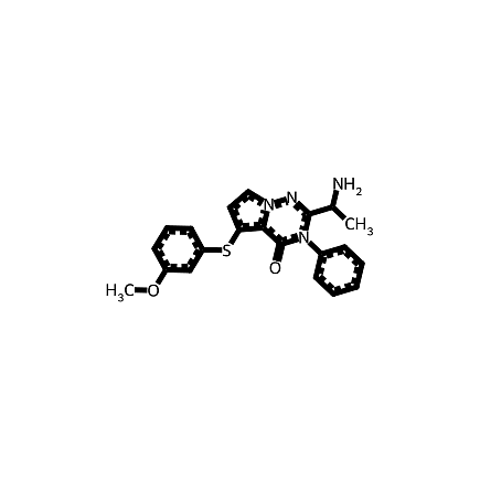 COc1cccc(Sc2ccn3nc(C(C)N)n(-c4ccccc4)c(=O)c23)c1